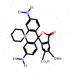 CCN(CC)c1ccc2c(c1)[Si]1(CCCCC1)c1cc(N(CC)CC)ccc1C21OC(=O)c2cc(OC)c(C(=O)O)cc21